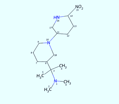 CN(C)C(C)(C)C1CCCN(C2CCC([N+](=O)[O-])NC2)C1